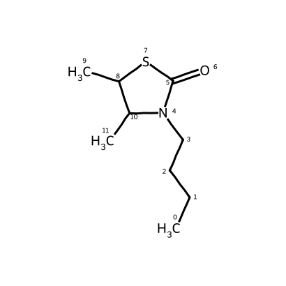 CCCCN1C(=O)SC(C)C1C